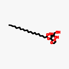 CCCCCCCCCCCCCCCCCCCC(=O)O[C@@H](C1OCCO1)[C@@H](O)[C@H](O)CO